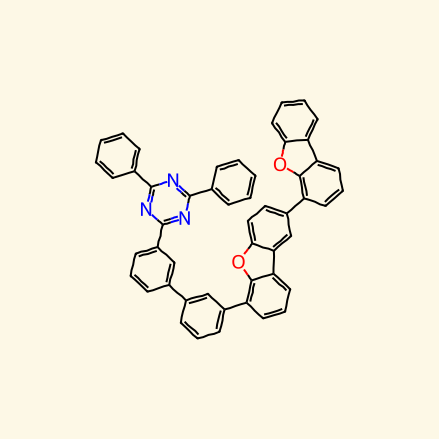 c1ccc(-c2nc(-c3ccccc3)nc(-c3cccc(-c4cccc(-c5cccc6c5oc5ccc(-c7cccc8c7oc7ccccc78)cc56)c4)c3)n2)cc1